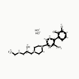 Cl.Cl.Nc1nc(N2CCN(C[C@@H](O)COCC(F)(F)F)CC2)nnc1-c1cccc(Cl)c1Cl